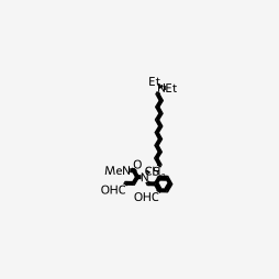 CCN(CC)CCCCCCCCCCCCSc1cccc(C=O)c1CN(C)C(CCC=O)C(=O)NC